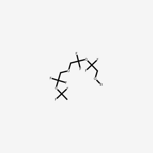 CCOCC(F)(F)OC(F)(F)COCC(F)(F)OC(C)(F)F